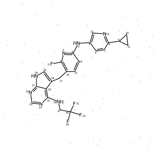 Fc1nc(Nc2ccc(C3CC3)nc2)ccc1Cc1c[nH]c2ncnc(NCC(F)(F)F)c12